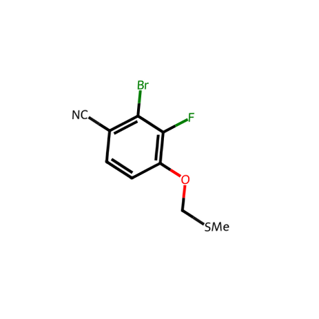 CSCOc1ccc(C#N)c(Br)c1F